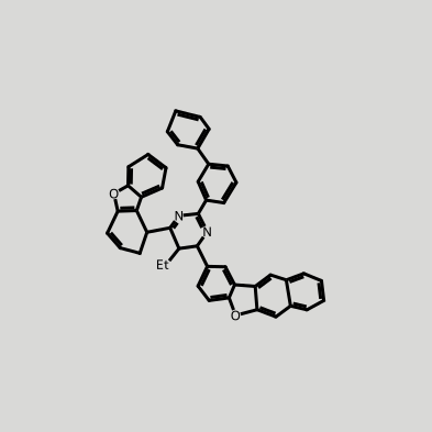 CCC1C(C2CC=Cc3oc4ccccc4c32)=NC(c2cccc(-c3ccccc3)c2)=NC1c1ccc2oc3cc4ccccc4cc3c2c1